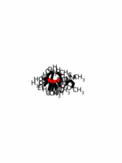 C=C1CO[C@@H]2[C@@H](C)C(=O)N[C@H](C)C[C@@](C)(OC1)[C@H](O[C@@H]1O[C@H](C)C[C@H](N(C)C)[C@H]1OC(C)=O)[C@@H](C)[C@H](O)[C@@H](C)C(=O)O[C@H](CC)[C@@]2(C)O